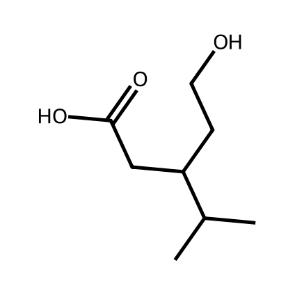 CC(C)C(CCO)CC(=O)O